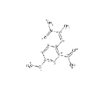 COc1ccc(C=C(C)C(N)=O)c(C(=O)O)c1